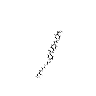 C=CC(=O)OCCCCCCOc1ccc(C(=O)Oc2ccc(CCc3ccc(OC)cc3)cc2)cc1